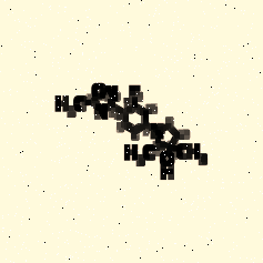 Cc1nc(-c2ccc(N3CC[C@](C)(O)[C@@H]3C)cc2F)no1